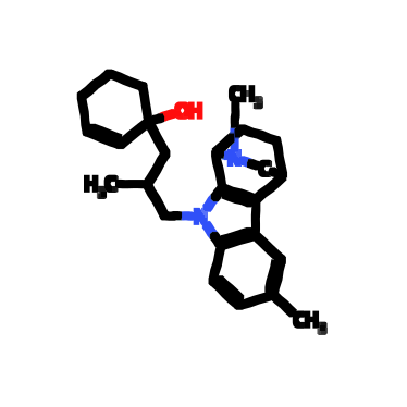 Cc1ccc2c(c1)c1c(n2CC(C)CC2(O)C=CCCC2)C2CCC1CN2C